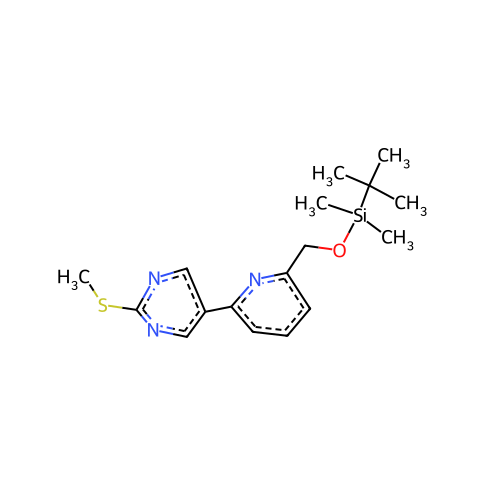 CSc1ncc(-c2cccc(CO[Si](C)(C)C(C)(C)C)n2)cn1